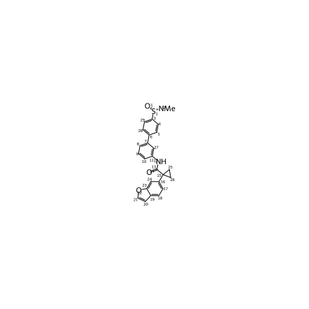 CN[S+]([O-])c1ccc(-c2cccc(NC(=O)C3(c4ccc5ccoc5c4)CC3)c2)cc1